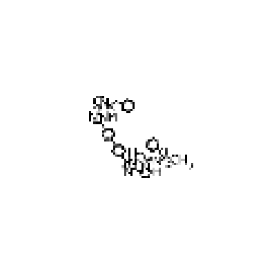 COC(=O)N[C@@H](C(=O)N1CCC[C@H]1c1ncc(-c2ccc(-c3ccc(-c4cnc([C@@H]5CCCN5C(=O)Cc5ccccc5)[nH]4)cc3)cc2)[nH]1)c1ccccc1